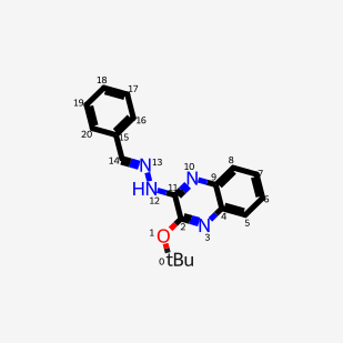 CC(C)(C)Oc1nc2ccccc2nc1N/N=C/c1ccccc1